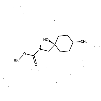 CC(C)(C)OC(=O)NC[C@]1(O)CC[C@H](C)CC1